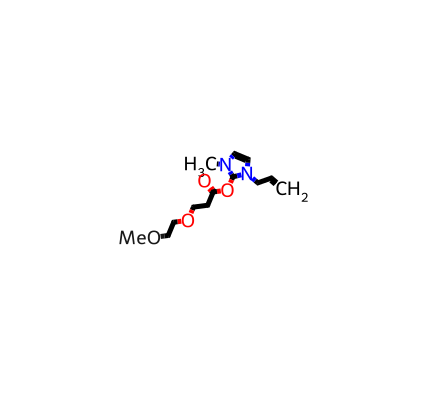 C=CCN1C=CN(C)C1OC(=O)CCOCCOC